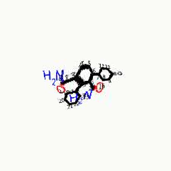 NC(=O)c1ccc(C2CCCCC2)c(C(N)=O)c1C1CCCCC1